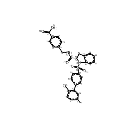 Cc1ccc(Cl)c(-c2ccc(S(=O)(=O)N3c4ccccc4C[C@H]3C(=O)NCc3ccc(C(=O)O)cc3)cc2)c1